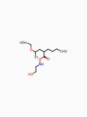 CCCCCCCCCCCOC(CC)CC(CCCC=O)C(=O)ONCCO